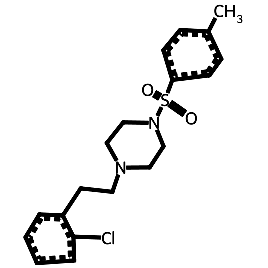 Cc1ccc(S(=O)(=O)N2CCN(CCc3ccccc3Cl)CC2)cc1